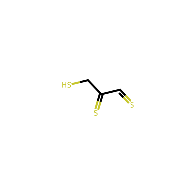 S=CC(=S)CS